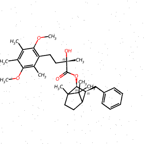 COc1c(C)c(C)c(OC)c(CC[C@](C)(O)C(=O)O[C@H]2[C@@H](Cc3ccccc3)C3CCC2(C)C3(C)C)c1C